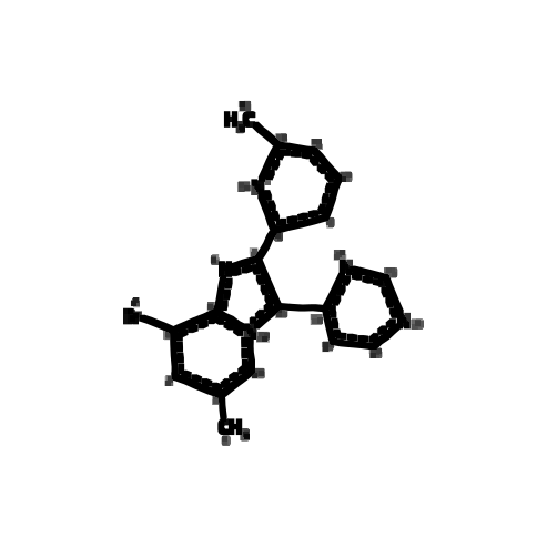 Cc1cc(Br)c2nc(-c3cccc(C)n3)c(-c3ccncn3)n2c1